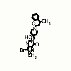 CC(CC(=O)N1CCC(O)(Cn2cnc3c(Br)n(C)nc3c2=O)CC1)c1ccccc1